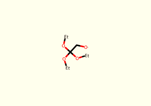 CCOC(C[O])(OCC)OCC